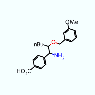 CCCCC(OCc1cccc(OC)c1)C(N)c1ccc(C(=O)O)cc1